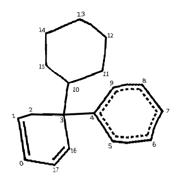 C1=CCC(c2ccccc2)(C2CCCCC2)C=C1